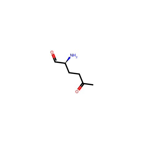 CC(=O)CC[C@H](N)C=O